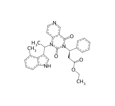 CCOC(=O)C[C@H](c1ccccc1)n1c(=O)c2cnccc2n(C(C)c2c[nH]c3cccc(C)c23)c1=O